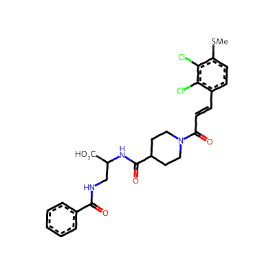 CSc1ccc(/C=C/C(=O)N2CCC(C(=O)NC(CNC(=O)c3ccccc3)C(=O)O)CC2)c(Cl)c1Cl